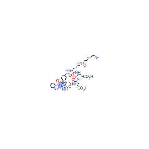 C=N\C=C/C=C(C)/C=C/C(=O)NCCCC[C@H](NC(=O)Cc1ccc(NC(=O)Nc2ccccc2C)cc1)C(=O)N[C@@H](CCC(=O)O)C(=O)N[C@@H](CCC(=O)O)C(=O)N[C@@H](CCCNC(=N)N)C(=O)O